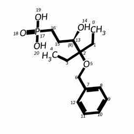 CCC(CC)(OCc1ccccc1)[C@H](O)CCP(=O)(O)O